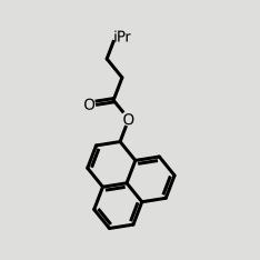 CC(C)CCC(=O)OC1C=Cc2cccc3cccc1c23